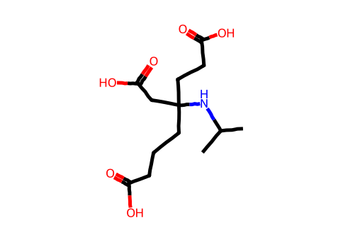 CC(C)NC(CCCC(=O)O)(CCC(=O)O)CC(=O)O